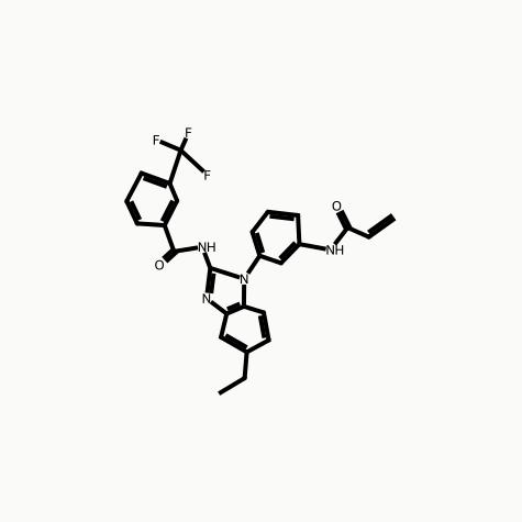 C=CC(=O)Nc1cccc(-n2c(NC(=O)c3cccc(C(F)(F)F)c3)nc3cc(CC)ccc32)c1